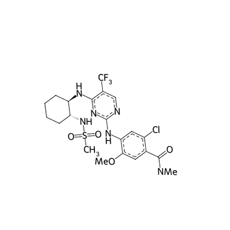 CNC(=O)c1cc(OC)c(Nc2ncc(C(F)(F)F)c(N[C@@H]3CCCC[C@H]3NS(C)(=O)=O)n2)cc1Cl